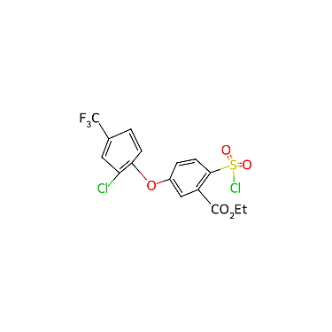 CCOC(=O)c1cc(Oc2ccc(C(F)(F)F)cc2Cl)ccc1S(=O)(=O)Cl